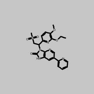 CCOc1nc(C(CS(C)(=O)=O)n2c(=O)[nH]c3cc(-c4ccccn4)cnc32)ccc1OC